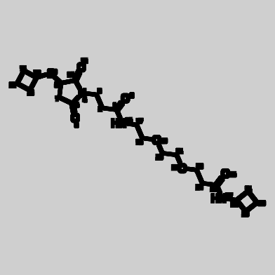 O=C(CCN1C(=O)CC(SC2CCC2)C1=O)NCCOCCOCCC(=O)NC1CCC1